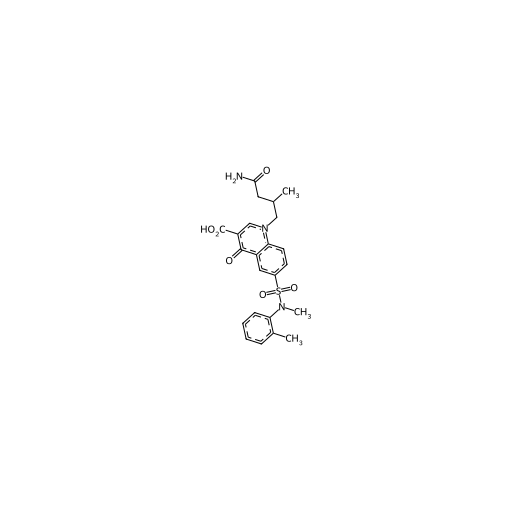 Cc1ccccc1N(C)S(=O)(=O)c1ccc2c(c1)c(=O)c(C(=O)O)cn2CC(C)CC(N)=O